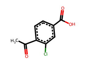 CC(=O)c1ccc(C(=O)O)cc1Cl